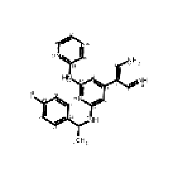 C[C@H](Nc1cc(/C(C=N)=C/N)cc(Nc2cnccn2)n1)c1ccc(F)cc1